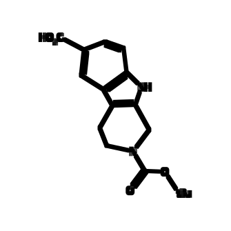 CC(C)(C)OC(=O)N1CCc2c([nH]c3ccc(C(=O)O)cc23)C1